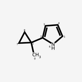 CC1(c2ccc[nH]2)CC1